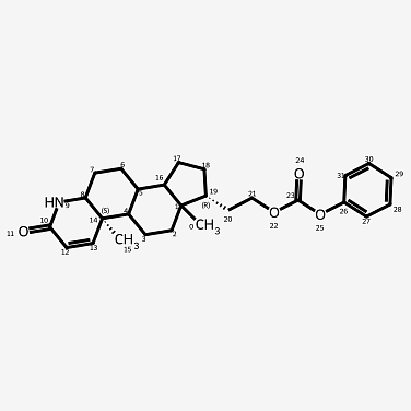 CC12CCC3C(CCC4NC(=O)C=C[C@@]43C)C1CC[C@@H]2CCOC(=O)Oc1ccccc1